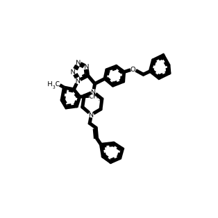 Cc1cccc(C)c1-n1nnnc1C(c1ccc(OCc2ccccc2)cc1)N1CCN(C/C=C/c2ccccc2)CC1